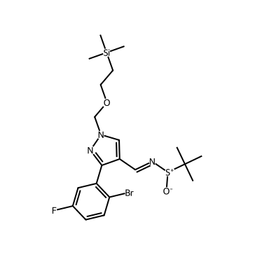 CC(C)(C)[S+]([O-])N=Cc1cn(COCC[Si](C)(C)C)nc1-c1cc(F)ccc1Br